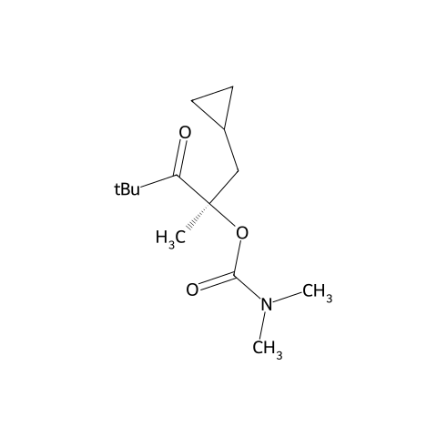 CN(C)C(=O)O[C@](C)(CC1CC1)C(=O)C(C)(C)C